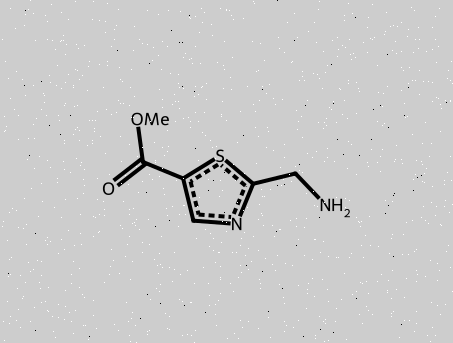 COC(=O)c1cnc(CN)s1